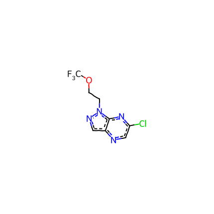 FC(F)(F)OCCn1ncc2ncc(Cl)nc21